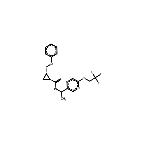 CC(NC(=O)[C@H]1C[C@@H]1COc1ccccc1)c1cnc(OCC(F)(F)F)cn1